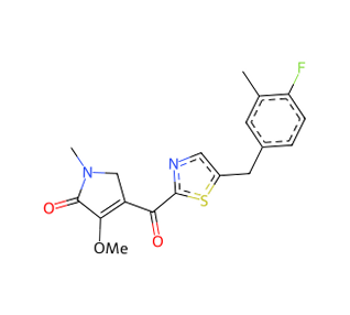 COC1=C(C(=O)c2ncc(Cc3ccc(F)c(C)c3)s2)CN(C)C1=O